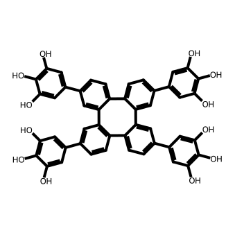 Oc1cc(-c2ccc3c(c2)-c2cc(-c4cc(O)c(O)c(O)c4)ccc2-c2ccc(-c4cc(O)c(O)c(O)c4)cc2-c2cc(-c4cc(O)c(O)c(O)c4)ccc2-3)cc(O)c1O